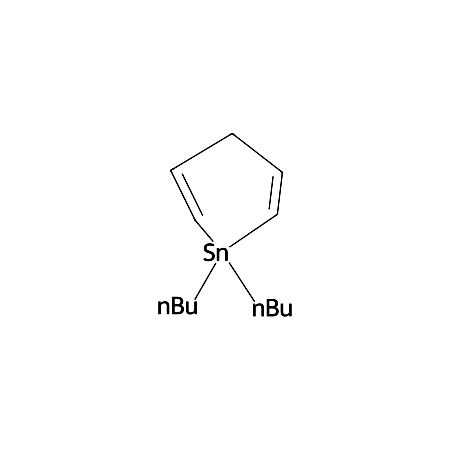 CCC[CH2][Sn]1([CH2]CCC)[CH]=CCC=[CH]1